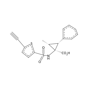 C#Cc1ccc(S(=O)(=O)N[C@@]2(C(=O)O)[C@H](C)[C@@H]2c2ccccc2)s1